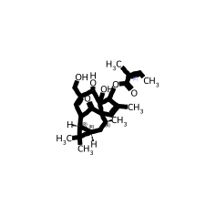 C/C=C(/C)C(=O)OC1C(C)=CC23C(=O)C(C=C(CO)C(O)C12O)[C@H]1[C@@H](C[C@H]3C)C1(C)C